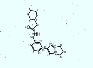 O=C(CC1CCCCC1)NCc1cccc(-c2cn3c(n2)CCC3)c1